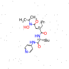 C=C(C)N(O)C(=O)C[C@@H](CC(C)C)C(=O)N[C@H](C(=O)Nc1ccncc1)C(C)(C)C